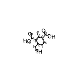 Cc1c(C(=O)O)ccc(CS)c1C(=O)O